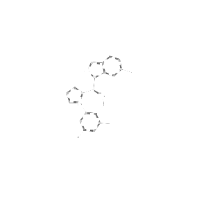 Cc1ccc2coc(C3=NCc4c(Cl)cc(Cl)cc4-n4cccc43)c2c1